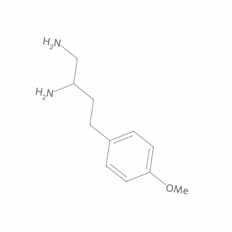 COc1ccc(CCC(N)CN)cc1